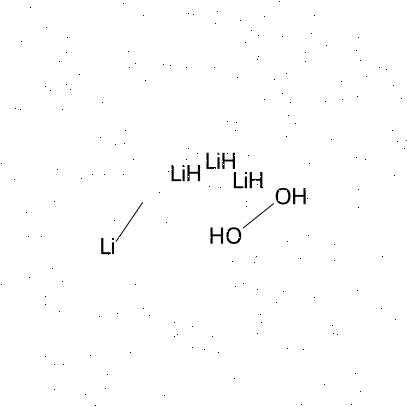 OO.[LiH].[LiH].[LiH].[Li][CH3]